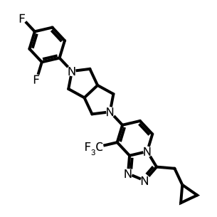 Fc1ccc(N2CC3CN(c4ccn5c(CC6CC6)nnc5c4C(F)(F)F)CC3C2)c(F)c1